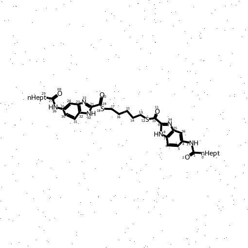 CCCCCCCC(=O)Nc1ccc2[nH]c(C(=O)SCCCCCSC(=O)c3nc4cc(NC(=O)CCCCCCC)ccc4[nH]3)nc2c1